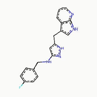 Fc1ccc(CNc2cc(Cc3c[nH]c4ncccc34)[nH]n2)cc1